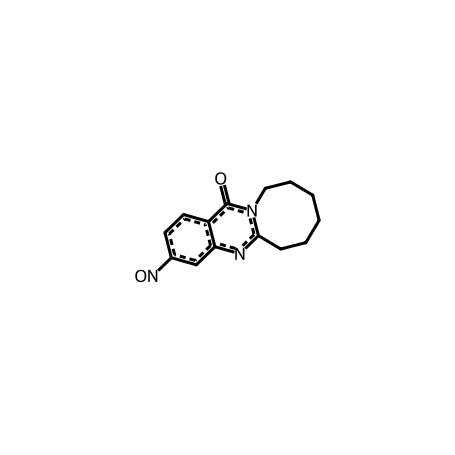 O=Nc1ccc2c(=O)n3c(nc2c1)CCCCCC3